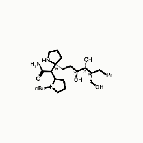 CCCCN1CCCC1C(C(N)=O)[C@]1(CC[C@H](O)[C@H](O)[C@@H](CO)CC(C)C)CCCN1